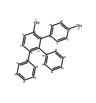 Oc1ccc(-c2c(O)ccc(-c3ccccc3)c2-c2ccccc2)cc1